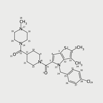 Cc1sc2cc(C(=O)N3CCC(C(=O)N4CCN(C)CC4)CC3)n(Cc3ccc(Cl)cc3)c2c1C